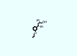 C=CCOc1cccc([C@H](C[C@@H](CO)C(C)C)C(C)C)c1